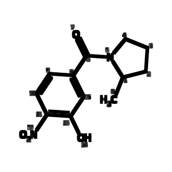 CC1CCCN1C(=O)c1ccc([N+](=O)[O-])c(O)c1